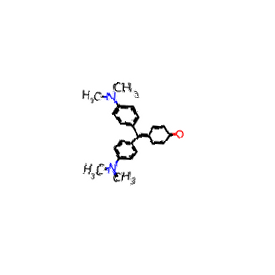 CN(C)c1ccc(C(=C2C=CC(=O)C=C2)c2ccc(N(C)C)cc2)cc1